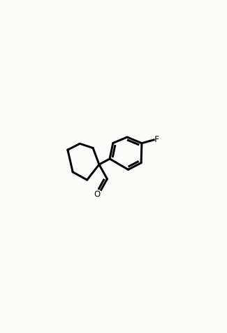 O=CC1(c2ccc(F)cc2)CCCCC1